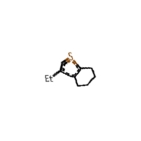 CCc1csc2c1CCCC2